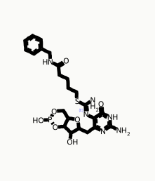 N/C(=N\c1c(CC2OC3COP(O)OC3C2O)nc(N)[nH]c1=O)SCCCCC(=O)NCc1ccccc1